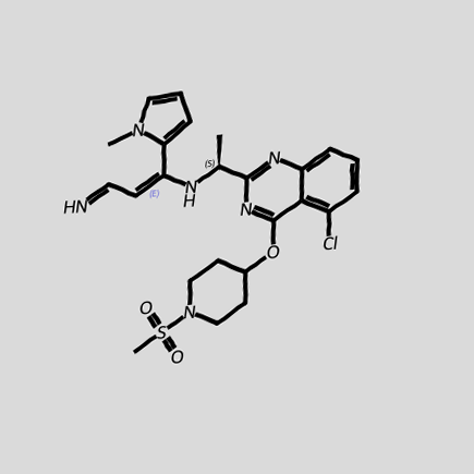 C[C@H](N/C(=C/C=N)c1cccn1C)c1nc(OC2CCN(S(C)(=O)=O)CC2)c2c(Cl)cccc2n1